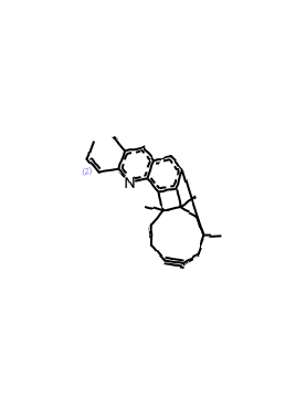 C/C=C\c1nc2c3c4c(cc2cc1C)C1(C)CC#CCCC3(C)C4(C)C1